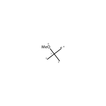 COC(C)(C)F